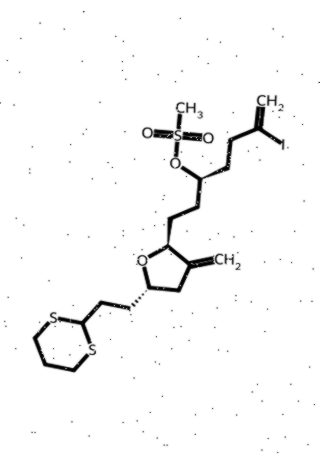 C=C(I)CC[C@@H](CC[C@@H]1O[C@@H](CCC2SCCCS2)CC1=C)OS(C)(=O)=O